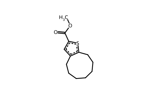 COC(=O)c1cc2c(s1)CCCCCCC2